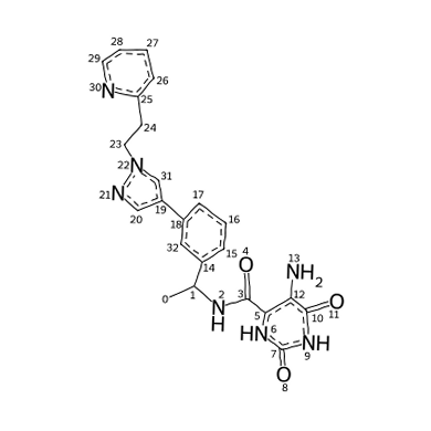 CC(NC(=O)c1[nH]c(=O)[nH]c(=O)c1N)c1cccc(-c2cnn(CCc3ccccn3)c2)c1